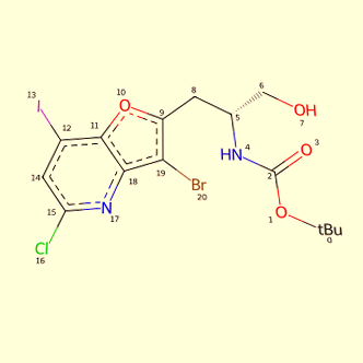 CC(C)(C)OC(=O)N[C@@H](CO)Cc1oc2c(I)cc(Cl)nc2c1Br